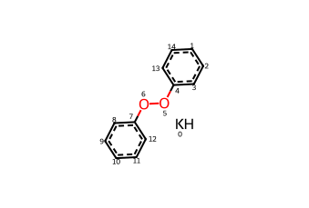 [KH].c1ccc(OOc2ccccc2)cc1